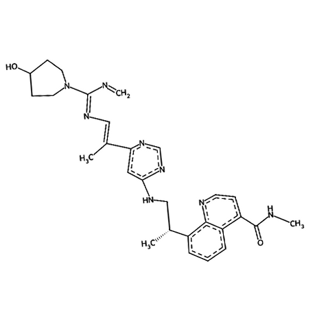 C=N/C(=N\C=C(/C)c1cc(NC[C@@H](C)c2cccc3c(C(=O)NC)ccnc23)ncn1)N1CCC(O)CC1